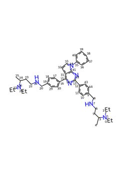 CCN(CC)C(C)CCNCc1ccc(-c2nc(-c3ccc(CNCCC(C)N(CC)CC)cc3)c3ccn(-c4ccccc4)c3n2)cc1